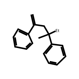 C=C(CC(C)(CC)c1ccccc1)c1ccccc1